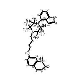 [2H]C1([2H])N(CCCCOc2ccc3ccc(=O)[nH]c3c2)C([2H])([2H])C([2H])([2H])N(c2cccc3sccc23)C1([2H])[2H]